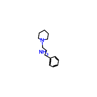 N.c1ccc(CCCN2CCCCC2)cc1